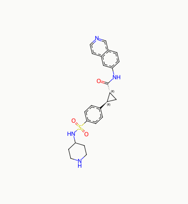 O=C(Nc1ccc2cnccc2c1)[C@@H]1C[C@H]1c1ccc(S(=O)(=O)NC2CCNCC2)cc1